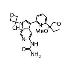 CO[C@@]1(c2cccc(-c3cn(C4(C)COC4)c4cnc(NC(N)=O)cc34)n2)CCOC1